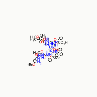 CSCC[C@H](NC(=O)[C@H](Cc1ccccc1)NC(=O)CNC(=O)[C@@H](C)NC(=O)[C@@H](N)Cc1ccc(OC(C)(C)C)cc1)C(=O)N1CCC[C@H]1C(=O)N[C@@H](CCC(=O)NC(c1ccccc1)(c1ccccc1)c1ccccc1)C(=O)N[C@@H](CCCNC(=N)NS(=O)(=O)c1c(C)c(C)c2c(c1C)CC(C)(C)O2)C(=O)N[C@@H](Cc1ccccc1)C(=O)O